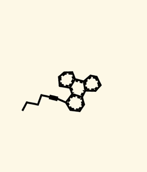 CCCCC#Cc1cccc2c3ccccc3c3ccccc3c12